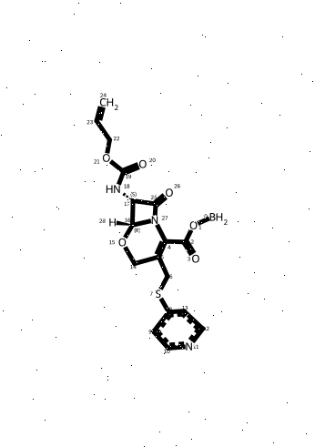 BOC(=O)C1=C(CSc2ccncc2)CO[C@@H]2[C@H](NC(=O)OCC=C)C(=O)N12